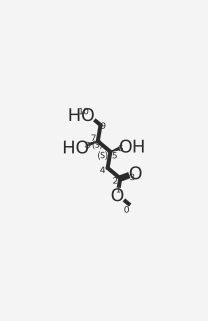 COC(=O)C[C@H](O)[C@@H](O)CO